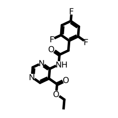 CCOC(=O)c1cncnc1NC(=O)Cc1c(F)cc(F)cc1F